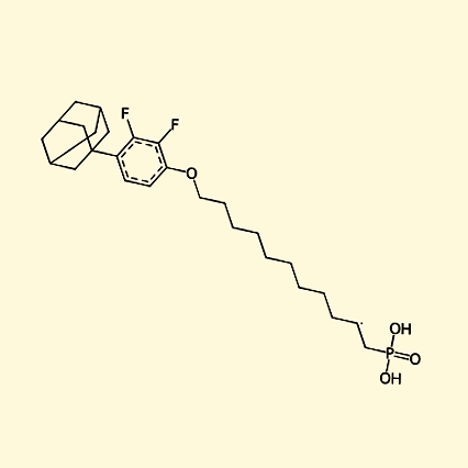 O=P(O)(O)C[CH]CCCCCCCCCOc1ccc(C23CC4CC(CC(C4)C2)C3)c(F)c1F